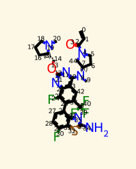 C=CC(=O)N1CC[C@@H](N(C)c2nc(OC[C@@H]3CCCN3C)nc3c(F)c(-c4ccc(F)c5sc(N)nc45)c(C(F)(F)F)cc23)C1